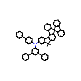 CC1(C)c2cc(N(c3ccc(-c4ccccc4)cc3)c3cc(-c4ccccc4)cc(-c4ccccc4)c3)ccc2-c2c1ccc1c2C2=C(C=CCC2)C12c1ccccc1-c1ccccc12